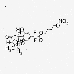 CC1(C)[C@H]2C[C@H]1[C@H](c1c(O)cc(C(F)(F)C(=O)OCCCCO[N+](=O)[O-])cc1O)CC2=O